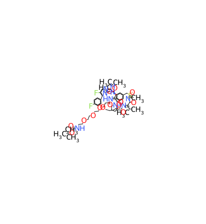 CC(C)[C@H](NC(=O)[C@@H]1CCCN1C(=O)[C@H](CC(=O)OC(C)(C)C)NC(=O)CCOCCOCCOCCNC(=O)OC(C)(C)C)C(=O)N=[S@@](C)(=O)Cc1cc2cc(c1)OCCCCOc1cc(F)ccc1-c1nc(ncc1F)N2